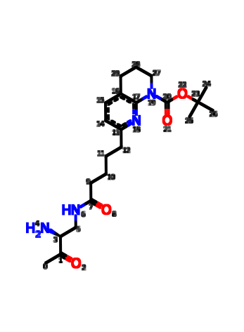 CC(=O)[C@@H](N)CNC(=O)CCCCc1ccc2c(n1)N(C(=O)OC(C)(C)C)CCC2